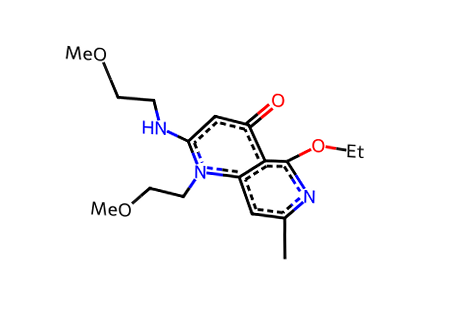 CCOc1nc(C)cc2c1c(=O)cc(NCCOC)n2CCOC